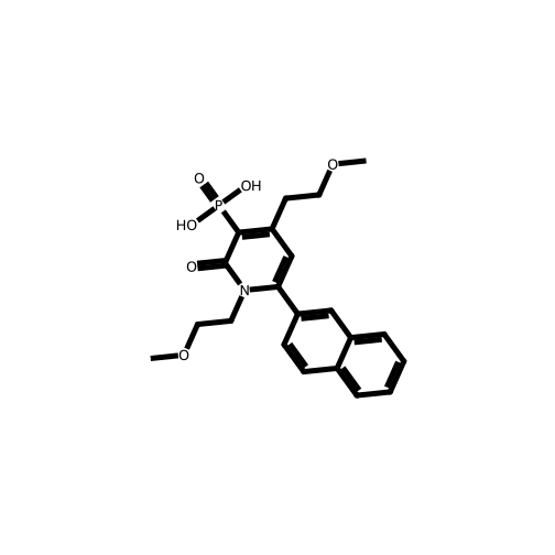 COCCc1cc(-c2ccc3ccccc3c2)n(CCOC)c(=O)c1P(=O)(O)O